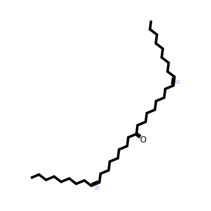 CCCCCCCC/C=C\CCCCCCCC(=O)CCCCCCC/C=C\CCCCCCCC